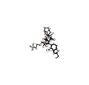 CCc1nc2ccc(-c3cn(COCC[Si](C)(C)C)c4nc(N5C6CCC5CC(NC(=O)OC(C)(C)C)C6)n(C)c(=O)c34)c(Cl)c2s1